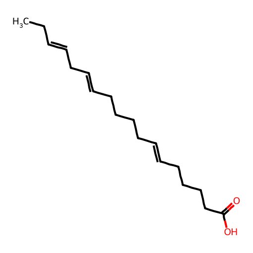 CCC=CCC=CCCCCC=CCCCCC(=O)O